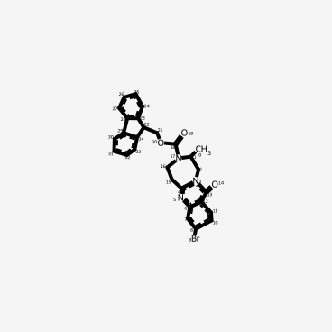 CC1Cn2c(nc3cc(Br)ccc3c2=O)CCN1C(=O)OCC1c2ccccc2-c2ccccc21